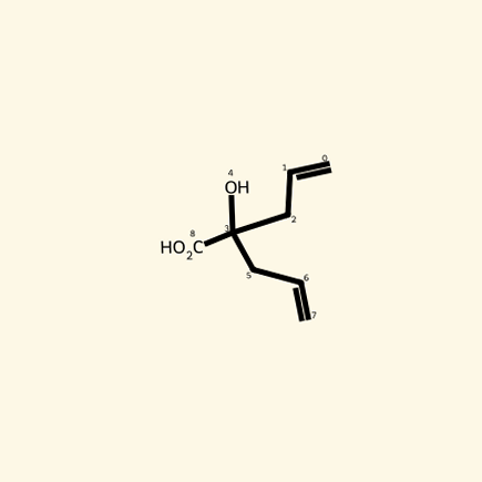 C=CCC(O)(CC=C)C(=O)O